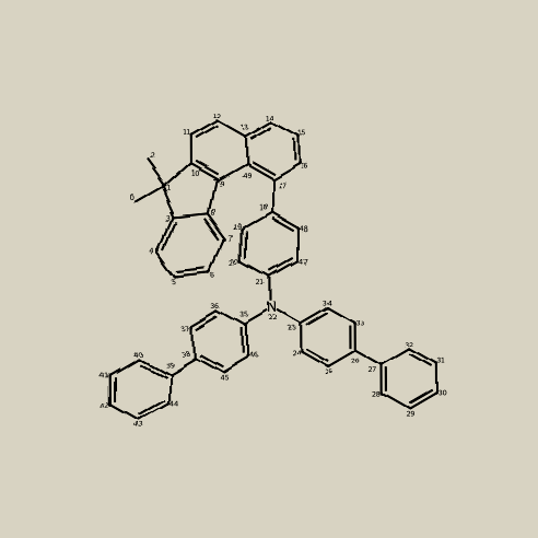 CC1(C)c2ccccc2-c2c1ccc1cccc(-c3ccc(N(c4ccc(-c5ccccc5)cc4)c4ccc(-c5ccccc5)cc4)cc3)c21